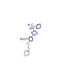 COc1cc(-c2cncc(NC(C)c3cccnc3)n2)ccc1OCCCN1CCOCC1